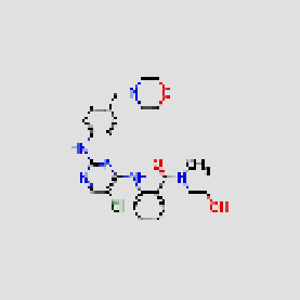 CN(CCO)C(=O)c1ccccc1Nc1nc(Nc2ccc(CN3CCOCC3)cc2)ncc1Cl